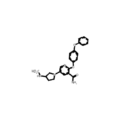 NC(=O)c1cc(N2CCC(NC(=O)O)C2)cnc1Oc1ccc(Oc2ccccc2)cc1